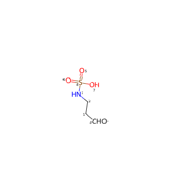 O=[C]CCNS(=O)(=O)O